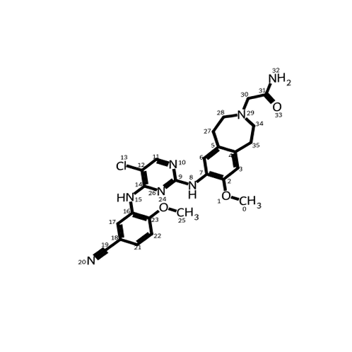 COc1cc2c(cc1Nc1ncc(Cl)c(Nc3cc(C#N)ccc3OC)n1)CCN(CC(N)=O)CC2